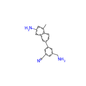 Cc1cc(N)cc2cc(-c3cc(C#N)cc(CN)c3)ccc12